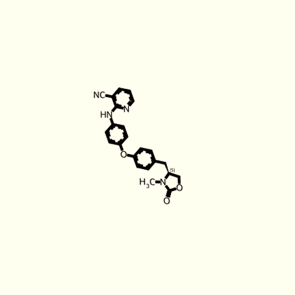 CN1C(=O)OC[C@@H]1Cc1ccc(Oc2ccc(Nc3ncccc3C#N)cc2)cc1